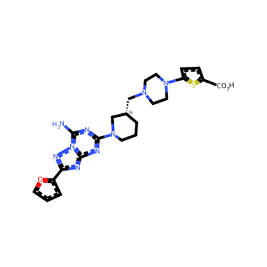 Nc1nc(N2CCC[C@@H](CN3CCN(c4ccc(C(=O)O)s4)CC3)C2)nc2nc(-c3ccco3)nn12